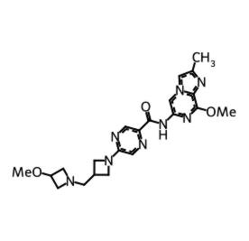 COc1nc(NC(=O)c2cnc(N3CC(CN4CC(OC)C4)C3)cn2)cn2cc(C)nc12